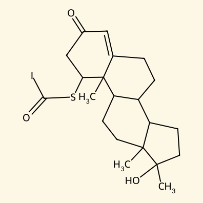 CC12C(=CC(=O)CC1SC(=O)I)CCC1C2CCC2(C)C1CCC2(C)O